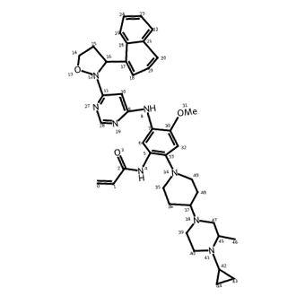 C=CC(=O)Nc1cc(Nc2cc(N3OCCC3c3cccc4ccccc34)ncn2)c(OC)cc1N1CCC(N2CCN(C3CC3)C(C)C2)CC1